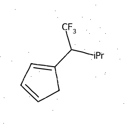 CC(C)C(C1=CC=CC1)C(F)(F)F